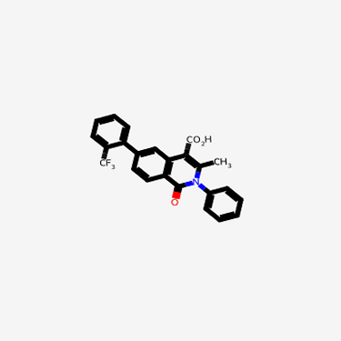 Cc1c(C(=O)O)c2cc(-c3ccccc3C(F)(F)F)ccc2c(=O)n1-c1ccccc1